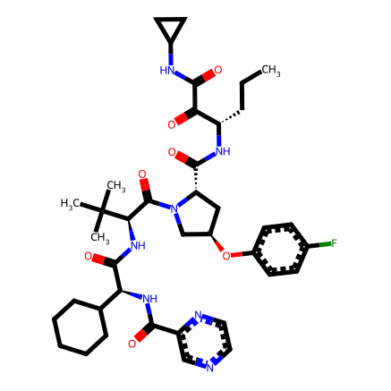 CCC[C@H](NC(=O)[C@@H]1C[C@@H](Oc2ccc(F)cc2)CN1C(=O)[C@@H](NC(=O)[C@@H](NC(=O)c1cnccn1)C1CCCCC1)C(C)(C)C)C(=O)C(=O)NC1CC1